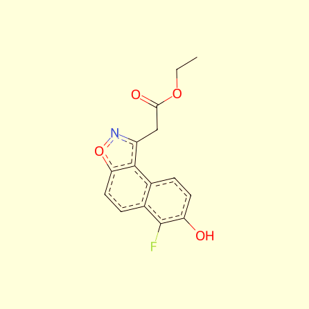 CCOC(=O)Cc1noc2ccc3c(F)c(O)ccc3c12